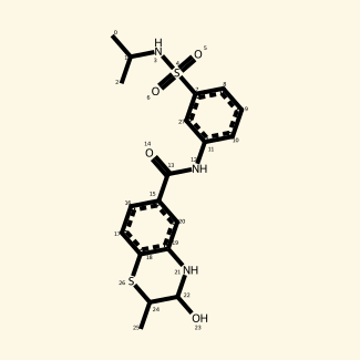 CC(C)NS(=O)(=O)c1cccc(NC(=O)c2ccc3c(c2)NC(O)C(C)S3)c1